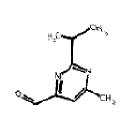 Cc1cc(C=O)nc(C(C)C)n1